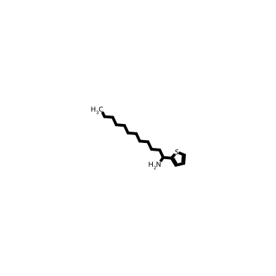 CCCCCCCCCCCC(N)c1cccs1